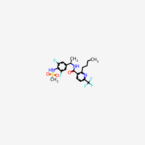 CCCCc1nc(C(F)(F)F)ccc1C(=O)N[C@H](C)c1cc(F)c(NS(C)(=O)=O)c(F)c1